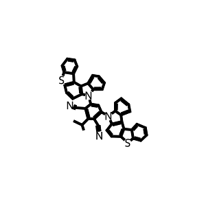 CC(C)c1c(C#N)c(-n2c3ccccc3c3c4c(ccc32)sc2ccccc24)cc(-n2c3ccccc3c3c4c(ccc32)sc2ccccc24)c1C#N